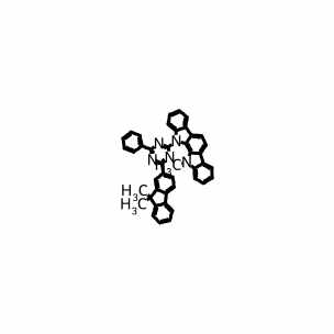 Cn1c2ccccc2c2ccc3c4ccccc4n(-c4nc(-c5ccccc5)nc(-c5ccc6c(c5)C(C)(C)c5ccccc5-6)n4)c3c21